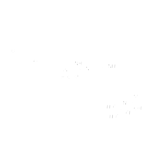 COC(Cc1ccc(OCCCOc2ccccc2)cc1)NC(=O)N1CCC(Nc2ccc(CCN(C(=O)O)C(C)(C)C)cc2)CC1